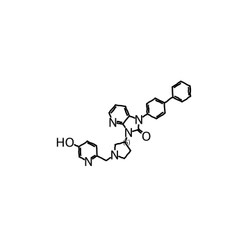 O=c1n(-c2ccc(-c3ccccc3)cc2)c2cccnc2n1[C@H]1CCN(Cc2ccc(O)cn2)C1